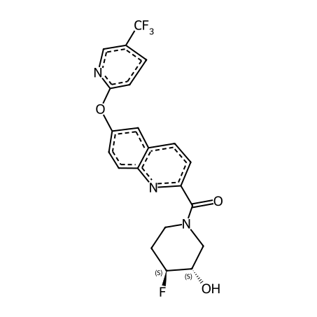 O=C(c1ccc2cc(Oc3ccc(C(F)(F)F)cn3)ccc2n1)N1CC[C@H](F)[C@@H](O)C1